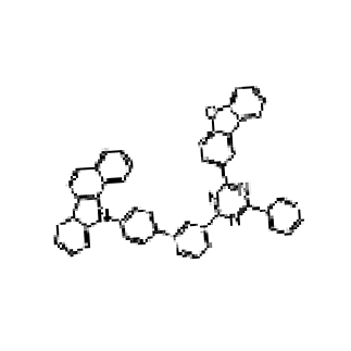 C1=CCC2C(=C1)N(c1ccc(-c3cccc(-c4nc(-c5ccccc5)nc(-c5ccc6oc7ccccc7c6c5)n4)c3)cc1)c1c2ccc2ccccc12